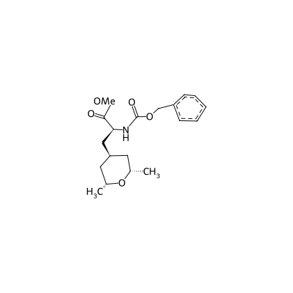 COC(=O)[C@H](C[C@@H]1C[C@@H](C)O[C@@H](C)C1)NC(=O)OCc1ccccc1